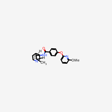 COc1cccc(Oc2ccc(C(=O)N[C@@H]3C4CCN(CC4)[C@H]3C)cc2)n1